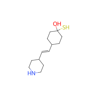 OC1(S)CCC(/C=C/C2CCNCC2)CC1